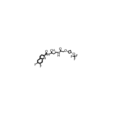 C=C(CCNC(=O)CO[C@H]1C[C@@H](OC(F)(F)F)C1)NC(=O)c1ccc2cc(F)c(F)cc2n1